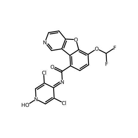 O=C(N=c1c(Cl)cn(O)cc1Cl)c1ccc(OC(F)F)c2oc3ccncc3c12